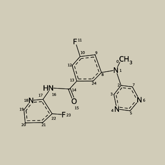 CN(c1cncnc1)c1cc(F)cc(C(=O)Nc2ncccc2F)c1